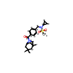 CC1(C)CC2CC(C)(CN2C(=O)c2ccc(CN(C3CC3)S(=O)(=O)C(F)(F)F)cc2)C1